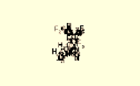 Cc1nc2c(N3C[C@@H](C)N(C(c4cc(F)c(C(F)(F)F)cc4F)C4CC(F)(F)C4)C[C@@H]3C)nc3nncn3c2n1C[C@@H]1CCCO1